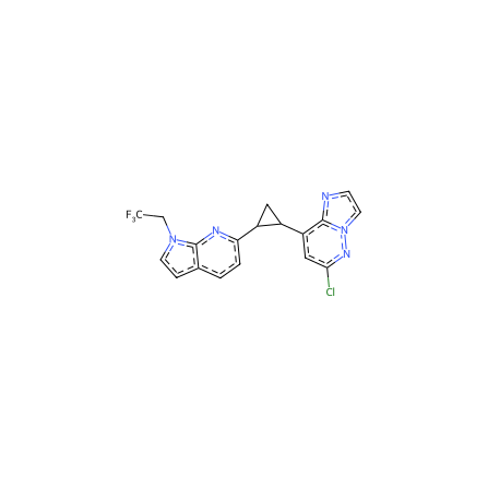 FC(F)(F)Cn1ccc2ccc(C3CC3c3cc(Cl)nn4ccnc34)nc21